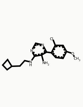 COc1ccc(-c2ncnc(NCCC3CCC3)c2N)c(Cl)c1